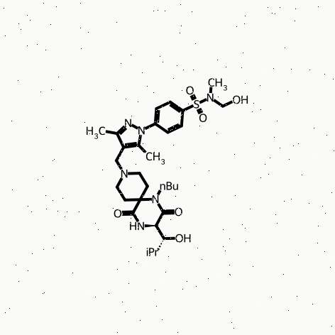 CCCCN1C(=O)[C@@H]([C@H](O)C(C)C)NC(=O)C12CCN(Cc1c(C)nn(-c3ccc(S(=O)(=O)N(C)CO)cc3)c1C)CC2